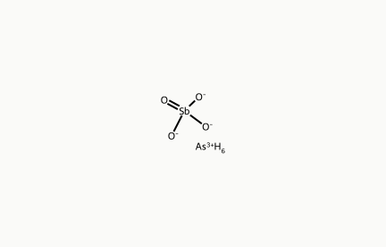 [AsH6+3].[O]=[Sb]([O-])([O-])[O-]